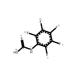 Fc1c(F)c(F)c(NC(=S)S)c(F)c1F